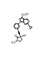 CCOC(=O)c1nn(-c2cccc(C#C[C@]3(O)CCN(C)C3=O)c2)c2nc(C3CC3)ncc12